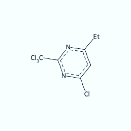 CCc1cc(Cl)nc(C(Cl)(Cl)Cl)n1